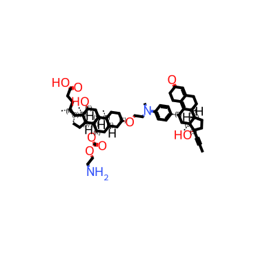 CC#C[C@]1(O)CC[C@H]2[C@@H]3CCC4=CC(=O)CCC4=C3[C@@H](c3ccc(N(C)CCO[C@H]4CC[C@@]5(C)[C@@H](C4)C[C@@H](OC(=O)OCCN)[C@@H]4[C@@H]5C[C@H](O)[C@]5(C)[C@@H]([C@H](C)CCC(=O)O)CC[C@@H]45)cc3)C[C@@]21C